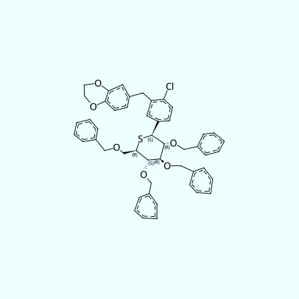 Clc1ccc([C@@H]2S[C@H](COCc3ccccc3)[C@@H](OCc3ccccc3)[C@H](OCc3ccccc3)[C@H]2OCc2ccccc2)cc1Cc1ccc2c(c1)OCCO2